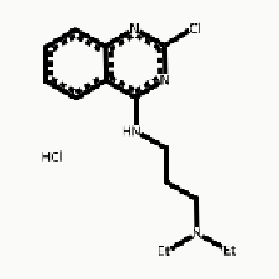 CCN(CC)CCCNc1nc(Cl)nc2ccccc12.Cl